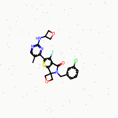 Cc1cnc(NC2COC2)nc1-c1sc2c(c1F)C(=O)N(Cc1cccc(Cl)c1)C21COC1